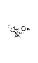 Cn1c(=N)n(Cc2ccc(Br)cc2)c2nc(Cl)ncc21